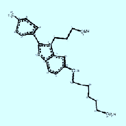 COCCCn1c(-c2ccc(C(F)(F)F)cc2)nc2ccc(OCCCCCC(=O)O)cc21